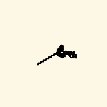 CCCCCCCCCCCCCCCC[Si](C)(O[Si](C)(C)O[Si](C)(C)C)O[Si](C)(CCCOCC(O)CO)O[Si](C)(C)C